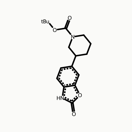 CC(C)(C)OC(=O)N1CCCC(c2ccc3[nH]c(=O)oc3c2)C1